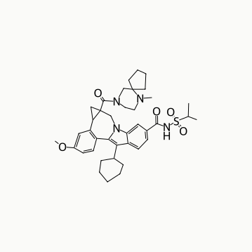 COc1ccc2c(c1)C1CC1(C(=O)N1CCN(C)C3(CCCC3)C1)Cn1c-2c(C2CCCCC2)c2ccc(C(=O)NS(=O)(=O)C(C)C)cc21